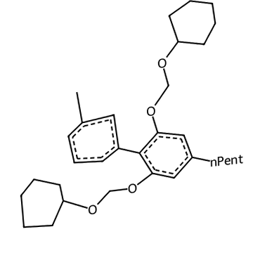 CCCCCc1cc(OCOC2CCCCC2)c(-c2cccc(C)c2)c(OCOC2CCCCC2)c1